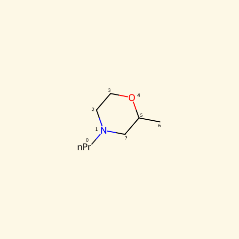 [CH2]CCN1CCOC(C)C1